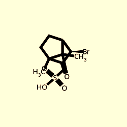 CC12CCC([C@@H](Br)C1=O)C2(C)CS(=O)(=O)O